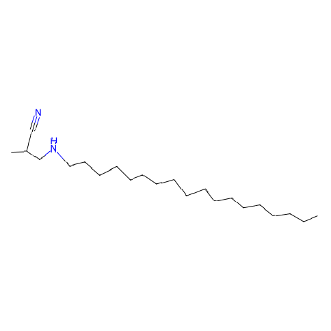 CCCCCCCCCCCCCCCCCCNCC(C)C#N